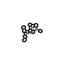 c1ccc(N(c2ccccc2)c2cccc3c4cccc5c6c7c8c9ccccc9cc9c%10cc%11ccccc%11cc%10n(c7ncc6n(c23)c45)c98)cc1